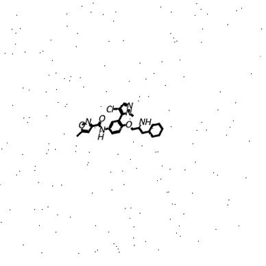 Cc1cc(C(=O)Nc2ccc(OC[C@@H](N)CC3CCCCC3)c(-c3c(Cl)cnn3C)c2)no1